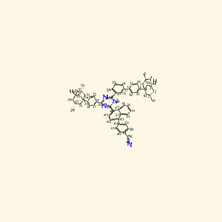 C[C@@H]1C[C@@H]2C[C@H](C)CC(c3ccc(-c4cccc(-c5nc(-c6ccc(C78C[C@H](C)C[C@H](C[C@H](C)C7)C8)cc6)nc(-c6ccc(-c7ccc(C#N)cc7)c7ccccc67)n5)c4)cc3)(C1)C2